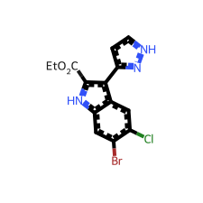 CCOC(=O)c1[nH]c2cc(Br)c(Cl)cc2c1-c1cc[nH]n1